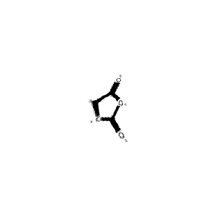 O=C1[CH]OC(=O)O1